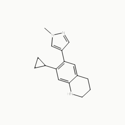 Cn1cc(-c2cc3c(cc2C2CC2)NCCC3)cn1